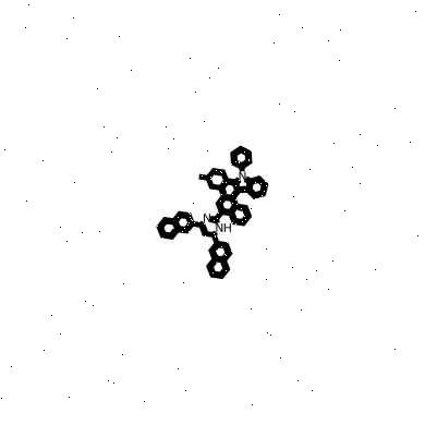 CC1C=Cc2c(c3cc(C4=NC(c5ccc6ccccc6c5)=CC(c5ccc6ccccc6c5)N4)c4ccccc4c3c3c4ccccc4n(-c4ccccc4)c23)C1